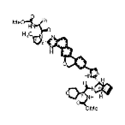 COC(=O)N[C@H](C(=O)N1[C@@H](C)CC[C@H]1c1nc2ccc3cc4c(cc3c2[nH]1)OCc1cc(-c2cnc([C@@H]3[C@@H]5CC#C[C@@H]5CN3C(=O)[C@@H](NC(=O)OC)C3CCOCC3)[nH]2)ccc1-4)C(C)C